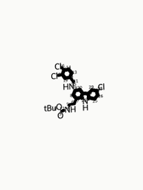 CC(C)(C)OC(=O)NCCc1cc(NCc2ccc(Cl)c(Cl)c2)cc2c1[nH]c1ccc(Cl)cc12